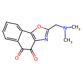 CN(C)Cc1nc2c(o1)-c1ccccc1C(=O)C2=O